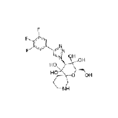 OC[C@H]1O[C@@]2(CCCNC2)C(O)(O)[C@@H](n2cc(-c3cc(F)c(F)c(F)c3)nn2)C1(O)O